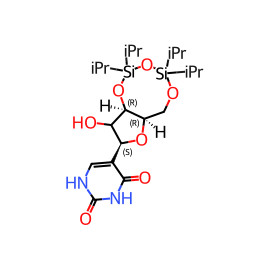 CC(C)[Si]1(C(C)C)OC[C@H]2O[C@@H](c3c[nH]c(=O)[nH]c3=O)C(O)[C@H]2O[Si](C(C)C)(C(C)C)O1